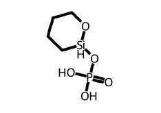 O=P(O)(O)O[SiH]1CCCCO1